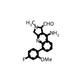 COc1cc(F)ccc1-c1cccc2c(N)c3c(nc12)CN(C)C3C=O